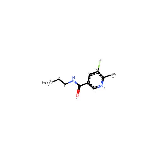 CC(C)c1ncc(C(=O)NCCC(=O)O)cc1F